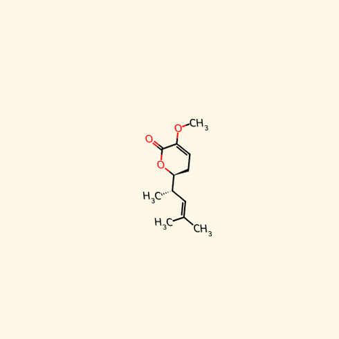 COC1=CC[C@@H]([C@@H](C)C=C(C)C)OC1=O